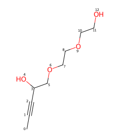 CC#CC(O)COCCOCCO